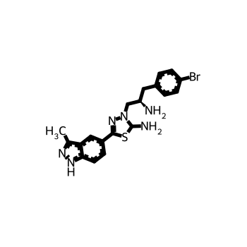 Cc1n[nH]c2ccc(C3=NN(C[C@H](N)Cc4ccc(Br)cc4)C(N)S3)cc12